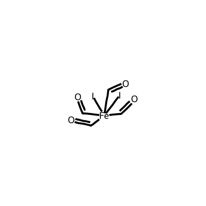 O=[CH][Fe]([I])([I])([CH]=O)([CH]=O)[CH]=O